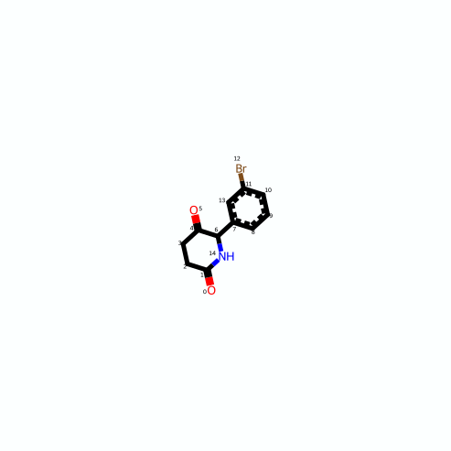 O=C1CCC(=O)C(c2cccc(Br)c2)N1